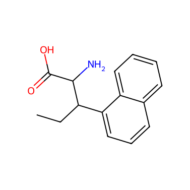 CCC(c1cccc2ccccc12)C(N)C(=O)O